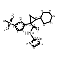 CS(=O)(=O)c1ccc(C2(C(=O)Nc3nccs3)CC2C2CCCCC2)s1